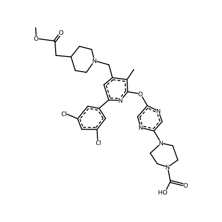 COC(=O)CC1CCN(Cc2cc(-c3cc(Cl)cc(Cl)c3)nc(Oc3cnc(N4CCN(C(=O)O)CC4)cn3)c2C)CC1